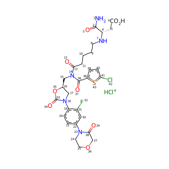 Cl.NC(=O)[C@H](CC(=O)O)NCCCCC(=O)N(C[C@H]1CN(c2ccc(N3CCOCC3=O)cc2F)C(=O)O1)C(=O)c1ccc(Cl)s1